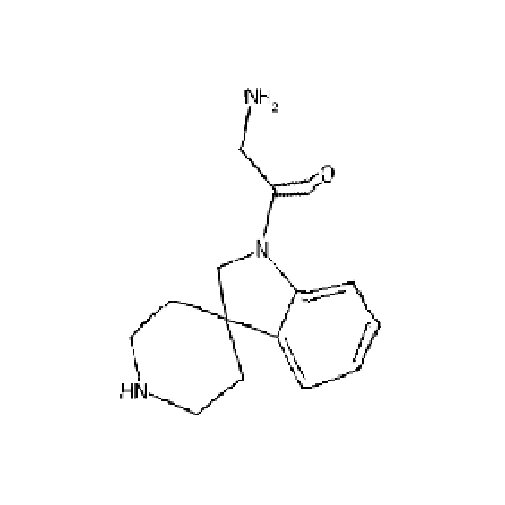 NCC(=O)N1CC2(CCNCC2)c2ccccc21